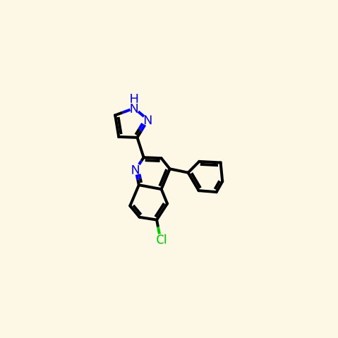 Clc1ccc2nc(-c3cc[nH]n3)cc(-c3ccccc3)c2c1